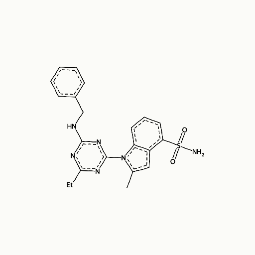 CCc1nc(NCc2ccccc2)nc(-n2c(C)cc3c(S(N)(=O)=O)cccc32)n1